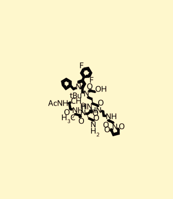 CC(=O)N[C@@H](C)C(=O)N[C@@H](C)C(=O)N[C@@H](CC(N)=O)C(=O)N[C@@H](CCN(C(=O)CO)[C@@H](c1cc(-c2cc(F)ccc2F)cn1Cc1ccccc1)C(C)(C)C)C(=O)NCCNC(=O)CN1C(=O)C=CC1=O